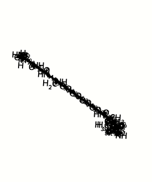 C=C(CCCCCNC(=O)CCCCCNC(=O)CCCC[C@@H]1SC[C@@H]2NC(=O)N[C@@H]21)NCCOCCOCCOCCOCCOCCOCCOCCOCCNC(=O)CCC(=O)N(C)[C@@H]1C[C@H]2O[C@@](C)([C@@H]1OC)n1c3ccccc3c3c4c(c5c6ccccc6n2c5c31)C(=O)NC4